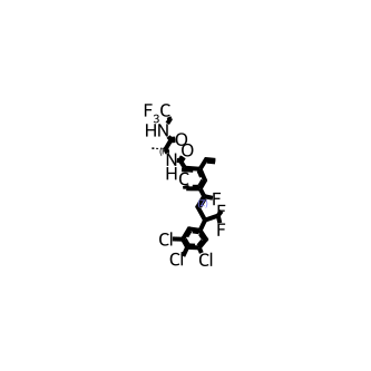 C=Cc1cc(/C(F)=C/C(c2cc(Cl)c(Cl)c(Cl)c2)C(F)F)ccc1C(=O)N[C@H](C)C(=O)NCC(F)(F)F